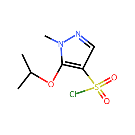 CC(C)Oc1c(S(=O)(=O)Cl)cnn1C